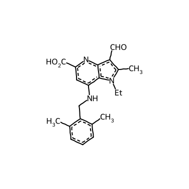 CCn1c(C)c(C=O)c2nc(C(=O)O)cc(NCc3c(C)cccc3C)c21